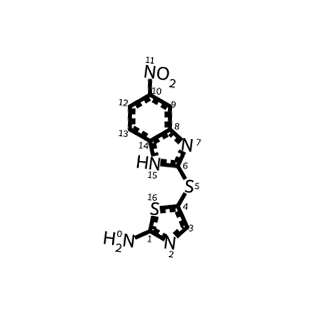 Nc1ncc(Sc2nc3cc([N+](=O)[O-])ccc3[nH]2)s1